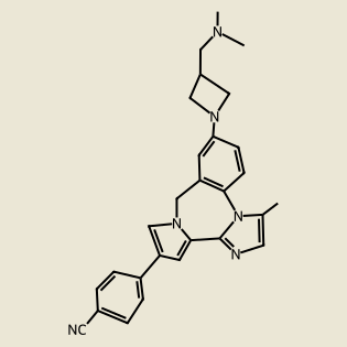 Cc1cnc2n1-c1ccc(N3CC(CN(C)C)C3)cc1Cn1cc(-c3ccc(C#N)cc3)cc1-2